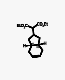 CCOC(=O)C(C(=O)OCC)C1C[C@H]2CC=CC[C@H]2C1